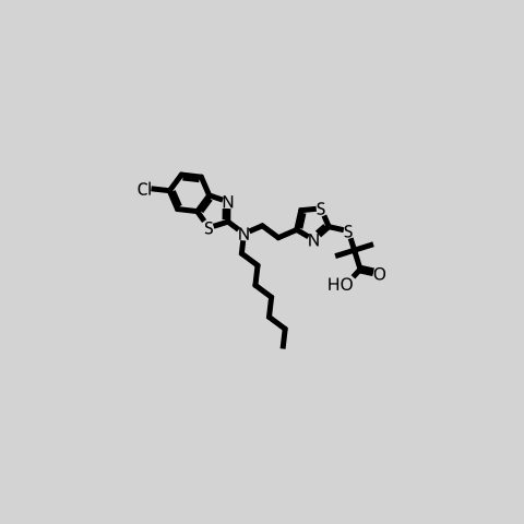 CCCCCCCN(CCc1csc(SC(C)(C)C(=O)O)n1)c1nc2ccc(Cl)cc2s1